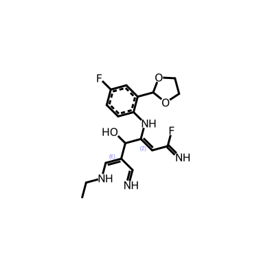 CCN/C=C(\C=N)C(O)/C(=C/C(=N)F)Nc1ccc(F)cc1C1OCCO1